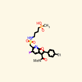 CCc1ccc(-c2oc3nc(CS(=O)(=O)NCCCCP(C)(=O)O)c(I)cc3c2C(=O)NC)cc1